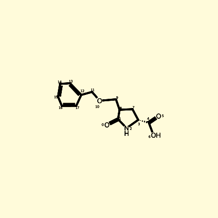 O=C1N[C@@H](C(=O)O)CC1COCc1ccccc1